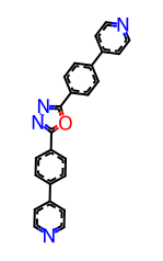 c1cc(-c2ccc(-c3nnc(-c4ccc(-c5ccncc5)cc4)o3)cc2)ccn1